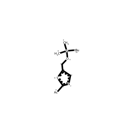 CC(=O)c1ncc(CO[Si](C)(C)C(C)(C)C)s1